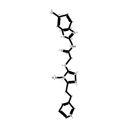 Nn1c(CCc2cccnc2)nnc1SCC(=O)Nc1nc2ccc(Cl)cc2s1